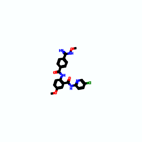 CONC(=N)c1ccc(C(=O)Nc2ccc(OC)cc2C(=O)Nc2ccc(Cl)cn2)cc1